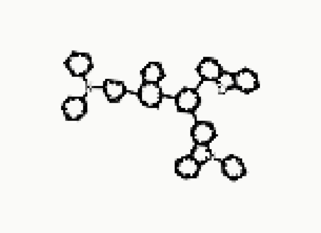 c1ccc(N(c2ccccc2)c2ccc(-c3ccc(-c4cc(-c5ccc6c(c5)c5ccccc5n6-c5ccccc5)cc(-c5cccc6c5oc5ccccc56)c4)c4ccccc34)cc2)cc1